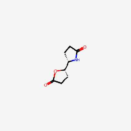 O=C1CC[C@@H]([C@@H]2CCC(=O)O2)N1